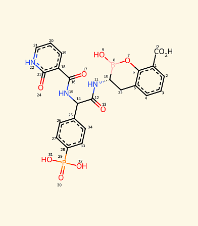 O=C(O)c1cccc2c1OB(O)[C@@H](NC(=O)C(NC(=O)c1ccc[nH]c1=O)c1ccc(P(=O)(O)O)cc1)C2